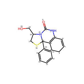 O=C1NC2=C(CCC=C2)C2(c3ccccc3)SCC(CO)N12